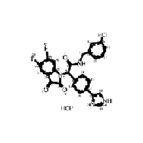 Cl.O=C1C(=O)N(C(C(=O)NCc2cccc(Cl)c2)c2ccc(-c3c[nH]cn3)cc2)c2cc(F)c(F)cc21